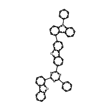 c1ccc(-c2nc(-c3ccc4c(c3)oc3cc(-c5cccc6c5c5ccccc5n6-c5ccccc5)ccc34)nc(-c3cccc4c3oc3ccccc34)n2)cc1